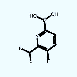 OB(O)c1ccc(F)c(C(F)F)n1